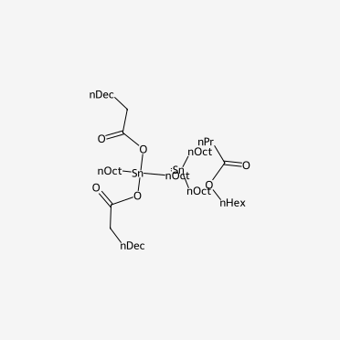 CCCCCCCCCCCC(=O)[O][Sn]([CH2]CCCCCCC)([CH2]CCCCCCC)[O]C(=O)CCCCCCCCCCC.CCCCCCC[CH2][Sn][CH2]CCCCCCC.CCCCCCOC(=O)CCC